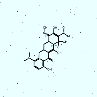 CN(C)c1ccc(O)c2c1CC1CC3/C(=N/O)C(O)=C(C(N)=O)C4(O)O[C@]34C(O)=C1C2=O